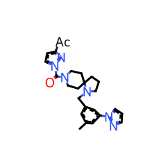 CC(=O)c1ccn(C(=O)N2CCC3(CCCN3Cc3cc(C)cc(-n4cccn4)c3)CC2)n1